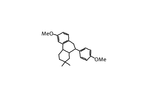 COc1ccc(C2Cc3ccc(OC)cc3C3CCC(C)(C)CC23)cc1